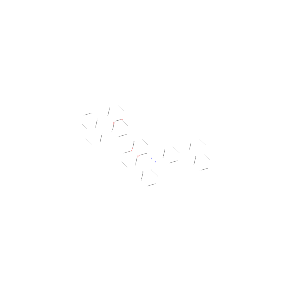 c1ccc(-c2ccccc2N(c2ccc(-c3cccc(-c4cccc5cccc(-c6ccccc6)c45)c3)cc2)c2ccc(-c3cccc4ccccc34)cc2)cc1